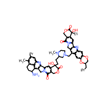 CCC1(O)C(=O)OCc2c1cc1n(c2=O)Cc2c-1nc1cc3c(cc1c2CN1CCN(C)C(CCC2(O)C(=O)OCc4c2cc2n(c4=O)Cc4c-2nc2cc(C(C)C)c(C)c5c2c4C(N)CC5)C1)OC(CC(C)C)CO3